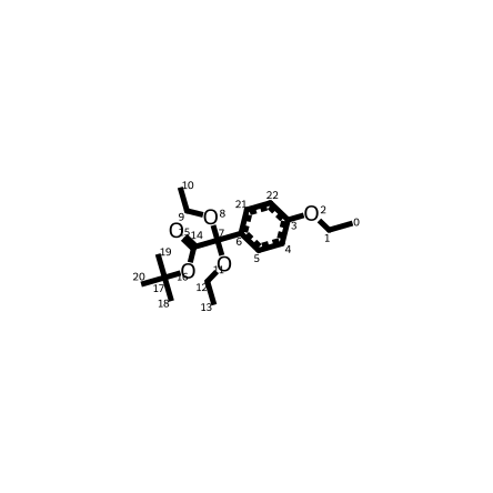 CCOc1ccc(C(OCC)(OCC)C(=O)OC(C)(C)C)cc1